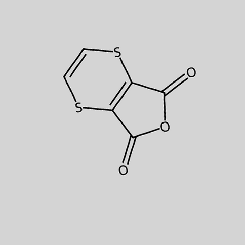 O=c1oc(=O)c2sccsc1=2